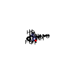 C=c1[nH]c(CNCCCOC)n/c1=C(/C=C(/F)CF)C(=N\O)\Nc1ccc(F)c(Cl)c1